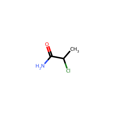 CC(Cl)C(N)=O